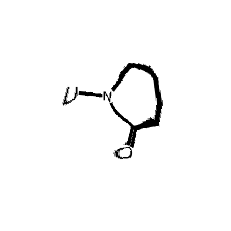 O=C1CCC[N]1[U]